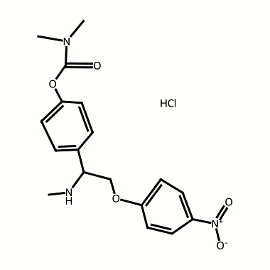 CNC(COc1ccc([N+](=O)[O-])cc1)c1ccc(OC(=O)N(C)C)cc1.Cl